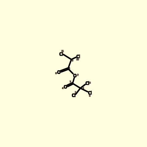 O=C(OC(=O)C(Cl)(Cl)Cl)C(Cl)Cl